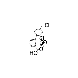 O=C(O)c1cccc(-c2ccc(CCl)cc2)c1S(=O)(=O)Cl